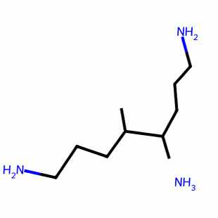 CC(CCCN)C(C)CCCN.N